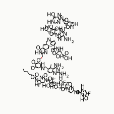 CCCCCOC(=O)Nc1nc(=O)n([C@@H]2O[C@H](C)[C@@H](O)[C@H]2O)cc1F.COc1cc(NCc2ccc3nc(N)nc(N)c3c2C)cc(OC)c1OC.Cc1nc2ccc(CN(C)c3ccc(C(=O)N[C@@H](CCC(=O)O)C(=O)O)s3)cc2c(=O)[nH]1.Nc1ccn([C@@H]2O[C@H](CO)[C@@H](O)C2(F)F)c(=O)n1.Nc1nc(F)nc2c1ncn2[C@@H]1O[C@H](CO)[C@@H](O)[C@@H]1O.O=c1[nH]cc(F)c(=O)[nH]1.OC[C@H]1O[C@@H](n2cnc3c2N=CNC[C@H]3O)C[C@@H]1O